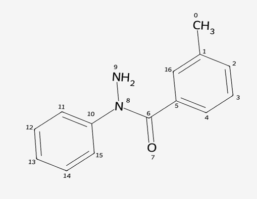 Cc1cccc(C(=O)N(N)c2ccccc2)c1